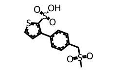 CS(=O)(=O)Cc1ccc(-c2ccsc2S(=O)(=O)O)cc1